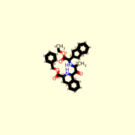 CCOC(=O)C(NC(C)C(=O)C1NC(C(=O)OCc2ccccc2)Cc2ccccc21)C1Cc2ccccc2C1